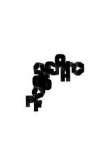 O=C(NCc1ccccc1)C1CCC2(CC1)CN(S(=O)(=O)c1ccc(C(F)F)cc1)c1ccccc12